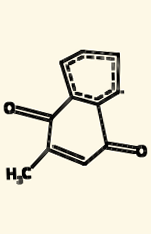 CC1=CC(=O)c2[c]cccc2C1=O